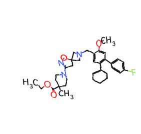 CCOC(=O)C1(C)CCN(C2=NOC3(C2)CN(Cc2cc(C4=CCCCC4)c(-c4ccc(F)cc4)cc2OC)C3)CC1